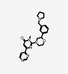 Cn1c(N2CCOC(c3cccc(CN4CCCC4)c3)C2)nc(-c2ccncn2)cc1=O